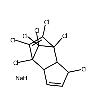 ClC1=C(Cl)C2(Cl)C3C(Cl)C=CC3C1(Cl)C2(Cl)Cl.[NaH]